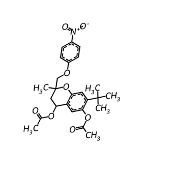 CC(=O)Oc1cc2c(cc1C(C)(C)C)OC(C)(COc1ccc([N+](=O)[O-])cc1)CC2OC(C)=O